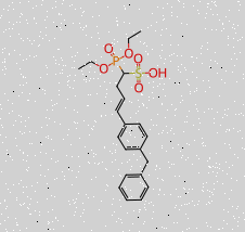 CCOP(=O)(OCC)C(CC=Cc1ccc(Cc2ccccc2)cc1)S(=O)(=O)O